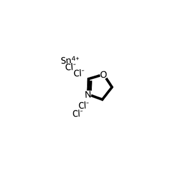 C1=NCCO1.[Cl-].[Cl-].[Cl-].[Cl-].[Sn+4]